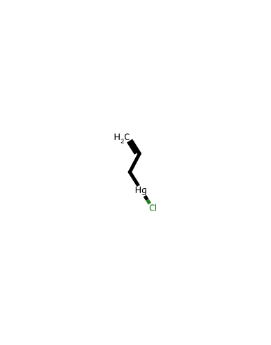 C=C[CH2][Hg][Cl]